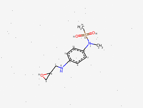 CN(c1ccc(NCC2CO2)cc1)S(C)(=O)=O